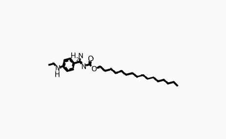 CCCCCCCCCCCCCCCCOC(=O)/N=C(\N)c1ccc(NCC)cc1